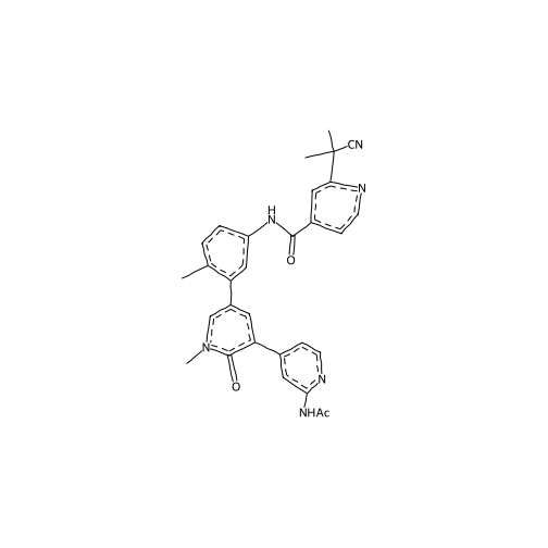 CC(=O)Nc1cc(-c2cc(-c3cc(NC(=O)c4ccnc(C(C)(C)C#N)c4)ccc3C)cn(C)c2=O)ccn1